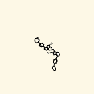 CCCC1=Cc2c(-c3ccc(C4CCCCC4)cc3)cccc2C1C[SiH2]CC1C(CCC)=Cc2c(-c3ccc(C4CCCCC4)cc3)cccc21